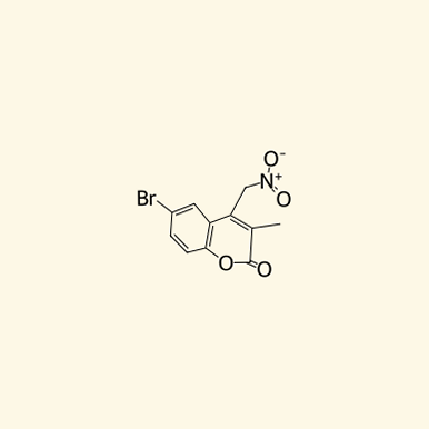 Cc1c(C[N+](=O)[O-])c2cc(Br)ccc2oc1=O